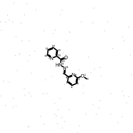 COc1cccc(/C=N/NC(=O)c2ccccn2)n1